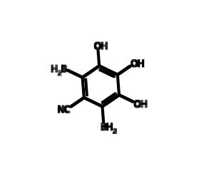 Bc1c(O)c(O)c(O)c(B)c1C#N